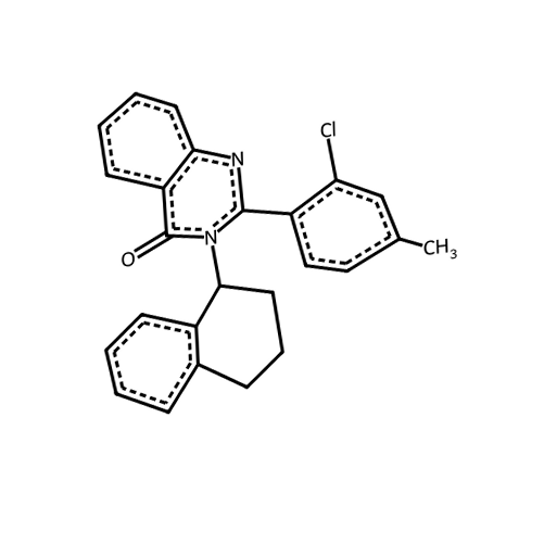 Cc1ccc(-c2nc3ccccc3c(=O)n2C2CCCc3ccccc32)c(Cl)c1